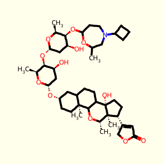 CC1CN(C2CCC2)CCC(O[C@@H]2[C@H](C)O[C@@H](O[C@@H]3[C@H](C)O[C@@H](O[C@H]4CC[C@@]5(C)C(CCC6C5O[C@@H](C)[C@]5(C)[C@@H](C7=CC(=O)OC7)CC[C@]65O)C4)C[C@@H]3O)C[C@@H]2O)O1